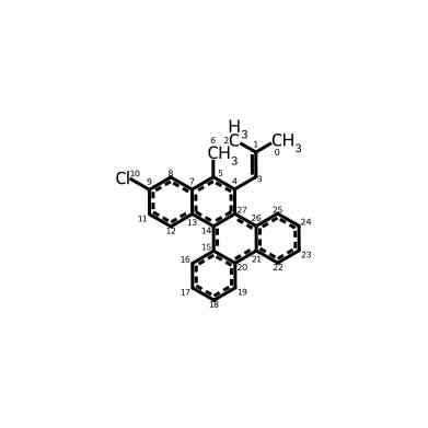 CC(C)=Cc1c(C)c2cc(Cl)ccc2c2c3ccccc3c3ccccc3c12